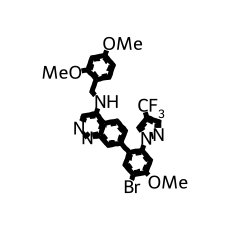 COc1ccc(CNc2cnnc3cc(-c4cc(Br)c(OC)cc4-n4cc(C(F)(F)F)cn4)ccc23)c(OC)c1